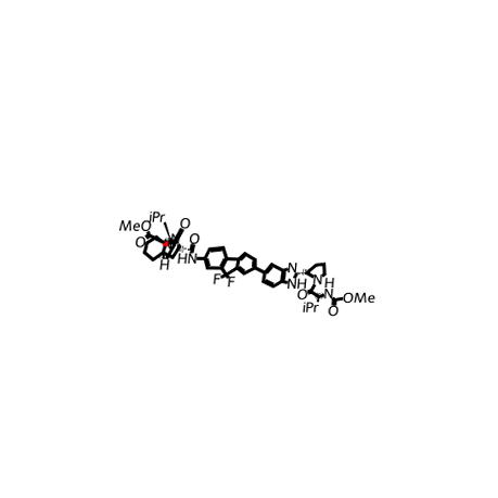 COC(=O)N[C@H](C(=O)N1CCC[C@H]1c1nc2cc(-c3ccc4c(c3)C(F)(F)c3cc(NC(=O)[C@@H]5C[C@@H]6CCCC[C@@]67N(C(=O)OC)[C@@H](C(C)C)C(=O)N57)ccc3-4)ccc2[nH]1)C(C)C